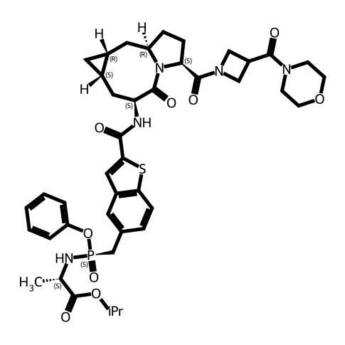 CC(C)OC(=O)[C@H](C)N[P@](=O)(Cc1ccc2sc(C(=O)N[C@H]3C[C@@H]4C[C@@H]4C[C@H]4CC[C@@H](C(=O)N5CC(C(=O)N6CCOCC6)C5)N4C3=O)cc2c1)Oc1ccccc1